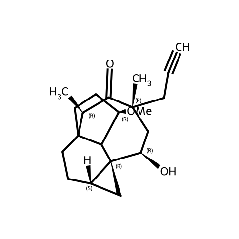 C#CC[C@]1(C)C[C@@H](O)[C@]23C[C@@H]2CCC2(CC[C@@H](OC)C23)[C@@H](C)C1=O